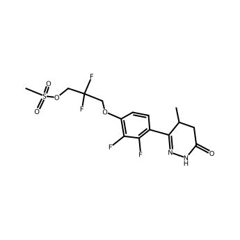 CC1CC(=O)NN=C1c1ccc(OCC(F)(F)COS(C)(=O)=O)c(F)c1F